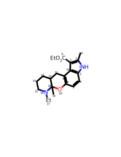 CCOC(=O)c1c(C)[nH]c2ccc3c(c12)CC1CCCN(CC)C1(C)O3